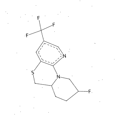 FC1CCC2CSc3cc(C(F)(F)F)cnc3N2C1